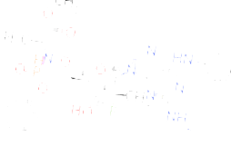 COC(=O)C(C)N(OC[C@H]1O[C@@H](n2cnc3c(NC4CCCC4)nc(N)nc32)[C@](C)(F)[C@@H]1O)[PH](=O)Oc1ccccc1